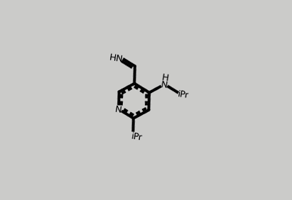 CC(C)Nc1cc(C(C)C)ncc1C=N